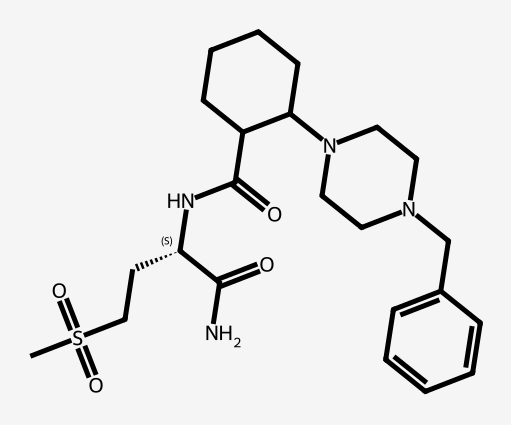 CS(=O)(=O)CC[C@H](NC(=O)C1CCCCC1N1CCN(Cc2ccccc2)CC1)C(N)=O